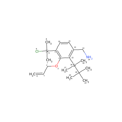 C=CCOc1c([Si](C)(C)Cl)ccc(CN)c1[Si](C)(C)C(C)(C)C